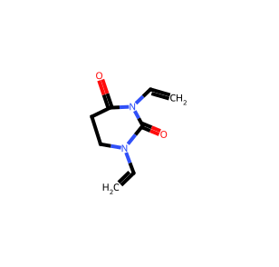 C=CN1CCC(=O)N(C=C)C1=O